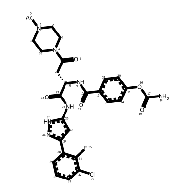 CC(=O)N1CCN(C(=O)C[C@H](NC(=O)c2ccc(OC(N)=O)cc2)C(=O)Nc2cc(-c3cccc(Cl)c3F)n[nH]2)CC1